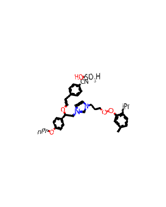 CCCOc1ccc(C(CN2C=CN(CCCOOc3cc(C)ccc3C(C)C)C2)OCCc2ccc(C#N)cc2)cc1.O=S(=O)(O)O